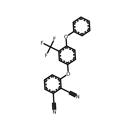 N#Cc1cccc(Oc2ccc(Oc3ccccc3)c(C(F)(F)F)c2)c1C#N